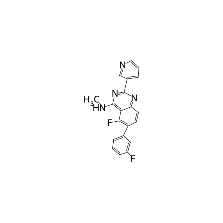 CNc1nc(-c2cccnc2)nc2ccc(-c3cccc(F)c3)c(F)c12